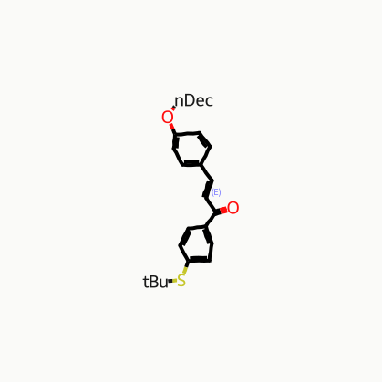 CCCCCCCCCCOc1ccc(/C=C/C(=O)c2ccc(SC(C)(C)C)cc2)cc1